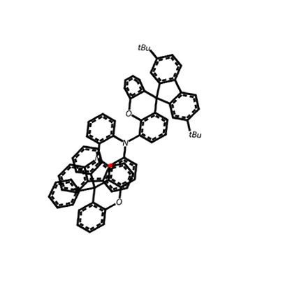 CC(C)(C)c1ccc2c(c1)C1(c3ccccc3Oc3c(N(c4ccc5c(c4)C(c4ccccc4)(c4ccccc4)c4ccccc4O5)c4ccccc4-n4c5ccccc5c5ccccc54)cccc31)c1cc(C(C)(C)C)ccc1-2